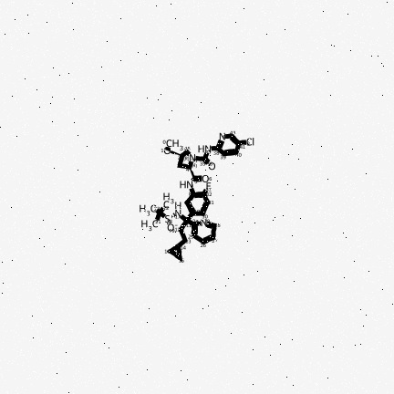 CO[C@@H]1C[C@H](C(=O)Nc2cc(C(CCC3CC3)(N[S+]([O-])C(C)(C)C)c3ccccn3)ccc2F)N(C(=O)Nc2ccc(Cl)cn2)C1